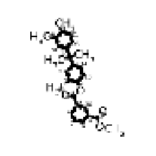 COC(=O)c1cccc(C(=O)Oc2ccc(C(C)(C)c3ccc(C)c(C)c3)cc2C)c1